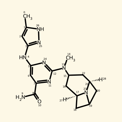 Cc1cc(Nc2cc(C(N)=O)nc(N(C)C3C[C@@H]4CC5C[C@H](C3)N54)n2)n[nH]1